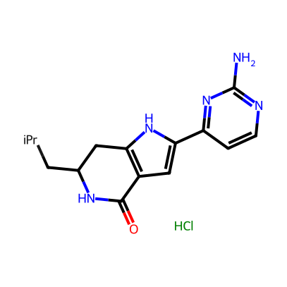 CC(C)CC1Cc2[nH]c(-c3ccnc(N)n3)cc2C(=O)N1.Cl